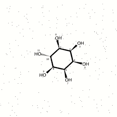 O[C@H]1[C@@H](O)[C@@H](O)[C@@H](O)[C@@H](O)[C@@H]1O